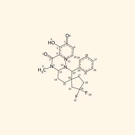 CN1C(=O)c2c(O)c(=O)ccn2N2C1CCC1(CCC(F)(F)C1)C2c1ccccc1